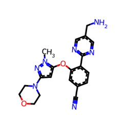 Cn1nc(N2CCOCC2)cc1Oc1cc(C#N)ccc1-c1ncc(CN)cn1